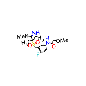 CNC(=N)C(C)(C)S(=O)(=O)Cc1cc(NC(=O)COC)ccc1F